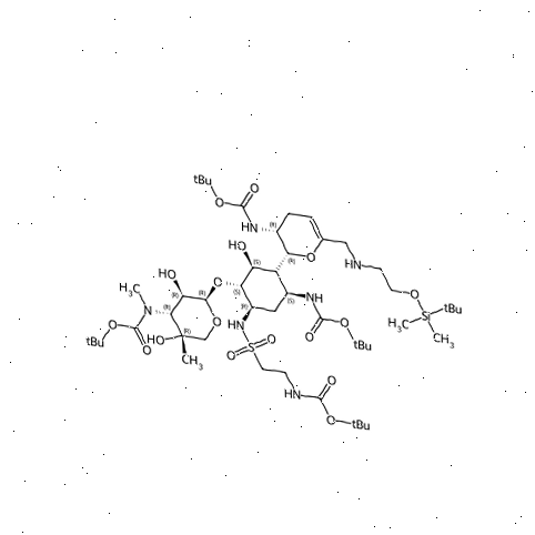 CN(C(=O)OC(C)(C)C)[C@@H]1[C@@H](O)[C@@H](O[C@H]2[C@H](NS(=O)(=O)CCNC(=O)OC(C)(C)C)C[C@H](NC(=O)OC(C)(C)C)C([C@H]3OC(CNCCO[Si](C)(C)C(C)(C)C)=CC[C@H]3NC(=O)OC(C)(C)C)[C@@H]2O)OC[C@]1(C)O